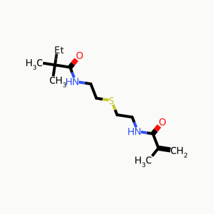 C=C(C)C(=O)NCCSCCNC(=O)C(C)(C)CC